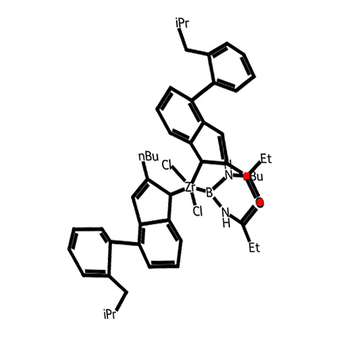 CCCCC1=Cc2c(-c3ccccc3CC(C)C)cccc2[CH]1[Zr]([Cl])([Cl])([B](NC(=O)CC)NC(=O)CC)[CH]1C(CCCC)=Cc2c(-c3ccccc3CC(C)C)cccc21